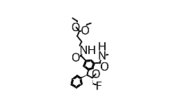 CCOC(CCCNC(=O)c1cc(C(=O)NC)c2c(c1)[C@H](c1ccccc1)[C@@H](CF)O2)OCC